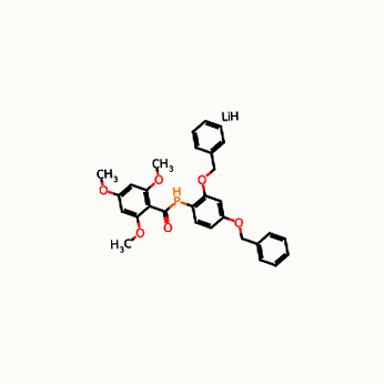 COc1cc(OC)c(C(=O)Pc2ccc(OCc3ccccc3)cc2OCc2ccccc2)c(OC)c1.[LiH]